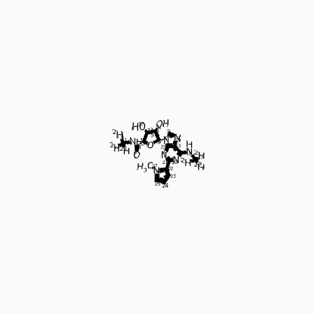 [2H]C([2H])([2H])NC(=O)[C@H]1O[C@@H](n2cnc3c(NC([2H])([2H])[2H])nc(-c4cccn4C)nc32)[C@H](O)[C@@H]1O